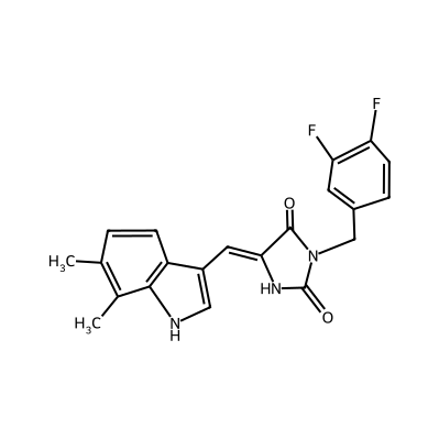 Cc1ccc2c(/C=C3\NC(=O)N(Cc4ccc(F)c(F)c4)C3=O)c[nH]c2c1C